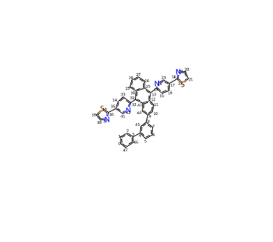 c1ccc(-c2cccc(-c3ccc4c(-c5ccc(-c6nccs6)cn5)c5ccccc5c(-c5ccc(-c6nccs6)cn5)c4c3)c2)cc1